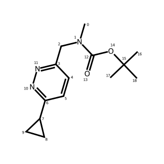 CN(Cc1ccc(C2CC2)nn1)C(=O)OC(C)(C)C